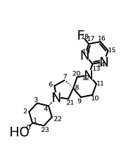 O[C@H]1CC[C@H](N2CC[C@]3(CCCN(c4nccc(F)n4)C3)C2)CC1